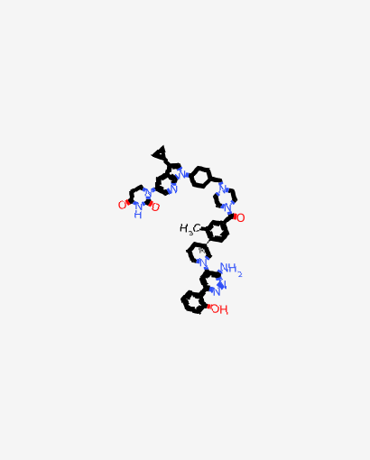 Cc1cc(C(=O)N2CCN(CC3CCC(n4cc(C5CC5)c5cc(N6CCC(=O)NC6=O)cnc54)CC3)CC2)ccc1[C@H]1CCCN(c2cc(-c3ccccc3O)nnc2N)C1